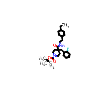 CCc1ccc(CCNC(=O)C2(Cc3ccccc3F)CCN(C(=O)OC(C)(C)C)CC2)cc1